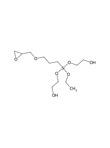 CCO[Si](CCCOCC1CO1)(OCCO)OCCO